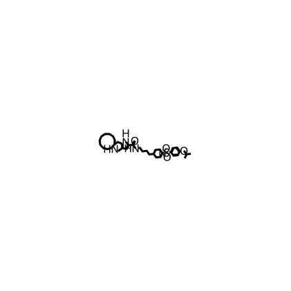 CC(C)Oc1ccc(S(=O)(=O)N2CCC(CCCCNC(=O)c3cc4c([nH]3)CC3(CCCCCCCCCC3)NC4)CC2)cc1